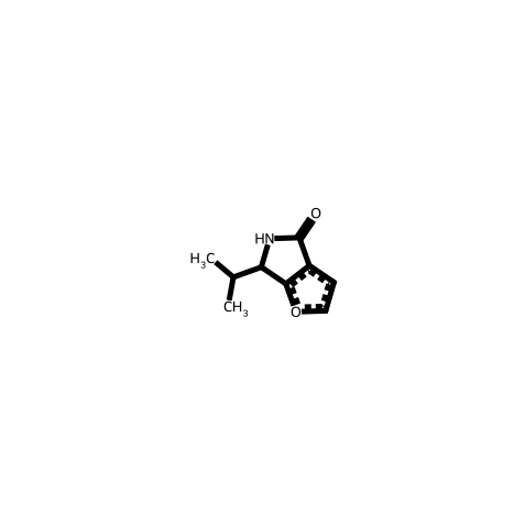 CC(C)C1NC(=O)c2ccoc21